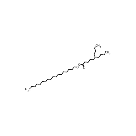 CCCCCCCCCCCCCCCCCCOOC(=O)CCCCN(CCCC)CCCC